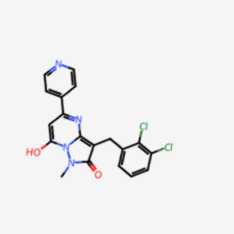 Cn1c(=O)c(Cc2cccc(Cl)c2Cl)c2nc(-c3ccncc3)cc(O)n21